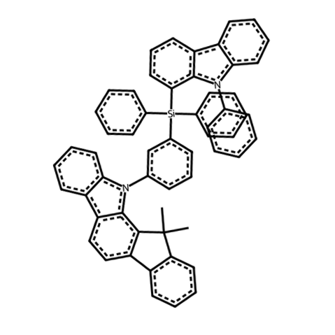 CC1(C)c2ccccc2-c2ccc3c4ccccc4n(-c4cccc([Si](c5ccccc5)(c5ccccc5)c5cccc6c7ccccc7n(-c7ccccc7)c56)c4)c3c21